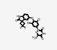 Nc1nn(-c2cc(Cl)c(Oc3ccc4c(c3)C3(CC(F)(F)C3)C(=O)N4)c(Cl)c2)c(=O)[nH]c1=O